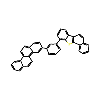 c1cc(-c2ccc3ccc4c5ccccc5ccc4c3c2)cc(-c2cccc3c2sc2c4ccccc4ccc32)c1